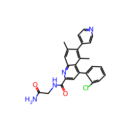 Cc1cc2nc(C(=O)NCC(N)=O)cc(-c3ccccc3Cl)c2c(C)c1-c1ccncc1